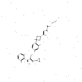 CC(C)n1nc(C(=O)NCCSO)cc1C1CC(O)(c2ccc(OCc3c(-c4c(Cl)cccc4Cl)noc3C3CC3)cc2Cl)C1